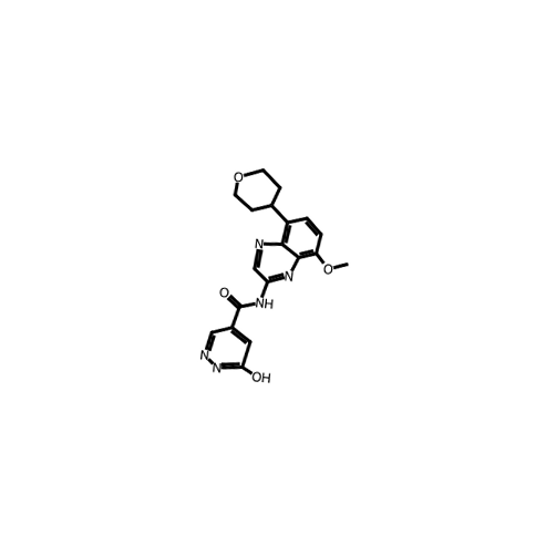 COc1ccc(C2CCOCC2)c2ncc(NC(=O)c3cnnc(O)c3)nc12